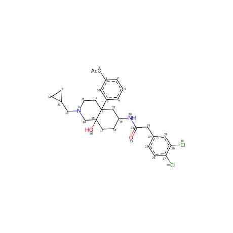 CC(=O)Oc1cccc(C23CCN(CC4CC4)CC2(O)CCC(NC(=O)Cc2ccc(Cl)c(Cl)c2)C3)c1